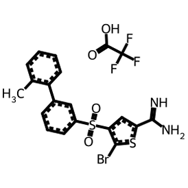 Cc1ccccc1-c1cccc(S(=O)(=O)c2cc(C(=N)N)sc2Br)c1.O=C(O)C(F)(F)F